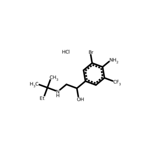 CCC(C)(C)NCC(O)c1cc(Br)c(N)c(C(F)(F)F)c1.Cl